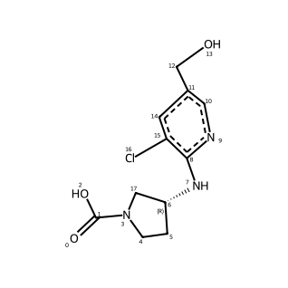 O=C(O)N1CC[C@@H](Nc2ncc(CO)cc2Cl)C1